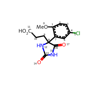 COc1ccc(Cl)cc1C1(CCC(=O)O)NC(=O)NC1=O